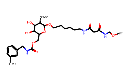 COc1cccc(CNC(=O)OCC2OC(OCCCCCCNC(=O)CC(=O)NCOC(C)C)C(NC(C)=O)C(O)C2O)c1